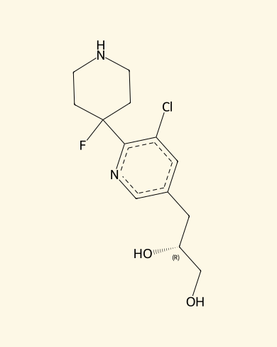 OC[C@H](O)Cc1cnc(C2(F)CCNCC2)c(Cl)c1